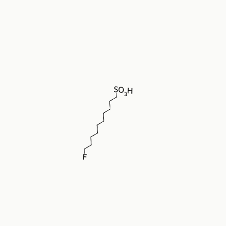 O=S(=O)(O)CCCCCCCCCCF